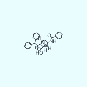 O=C(NC1C[C@@H]2CC[C@H]1[C@@H](C(=O)O)N2C(=O)C(c1ccccc1)c1ccccc1)c1ccccc1